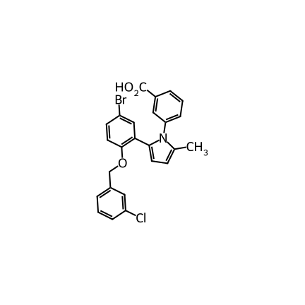 Cc1ccc(-c2cc(Br)ccc2OCc2cccc(Cl)c2)n1-c1cccc(C(=O)O)c1